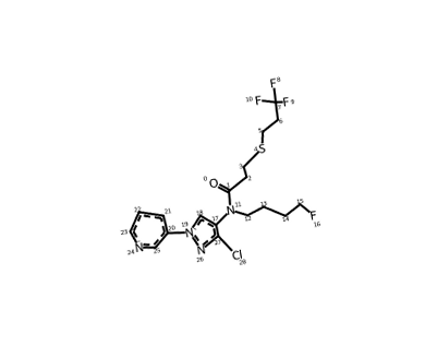 O=C(CCSCCC(F)(F)F)N(CCCCF)c1cn(-c2cccnc2)nc1Cl